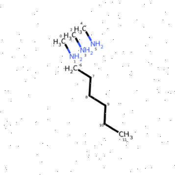 CN.CN.CN.[CH2]CCCCC